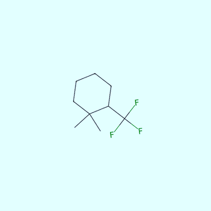 CC1(C)CCCCC1C(F)(F)F